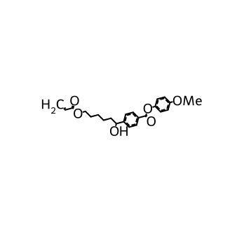 C=CC(=O)OCCCCCC(O)c1ccc(C(=O)Oc2ccc(OC)cc2)cc1